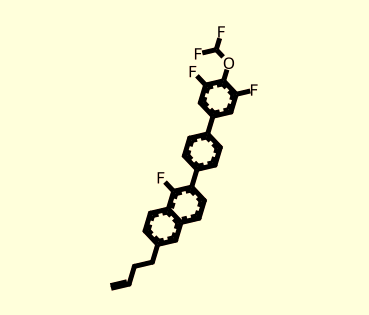 C=CCCc1ccc2c(F)c(-c3ccc(-c4cc(F)c(OC(F)F)c(F)c4)cc3)ccc2c1